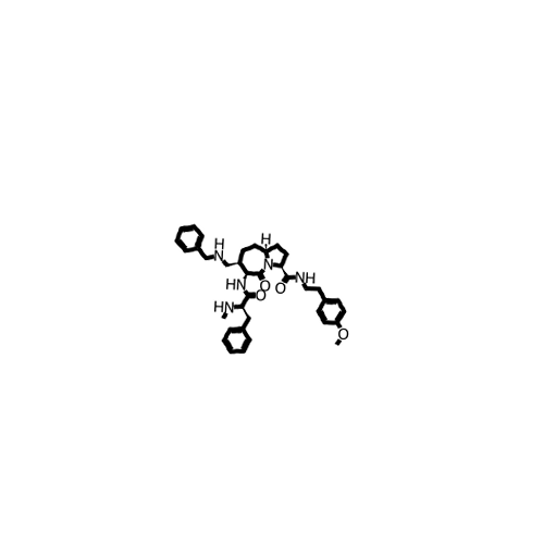 CN[C@H](Cc1ccccc1)C(=O)N[C@@H]1C(=O)N2[C@@H](CC[C@@H]1CNCc1ccccc1)CC[C@H]2C(=O)NCCc1ccc(OC)cc1